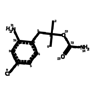 CC(C)(Cc1ccc(Cl)cc1N)OC(N)=O